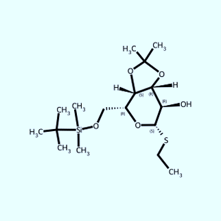 CCS[C@@H]1O[C@H](CO[Si](C)(C)C(C)(C)C)[C@@H]2OC(C)(C)O[C@@H]2[C@H]1O